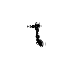 CC/C(=C(\c1ccc(O)cc1)c1ccc(OCCCCCN2CCCN(c3ccc4c(c3)C(=O)N(C3CCC(=O)NC3=O)C4=O)CC2)cc1)c1ccccc1